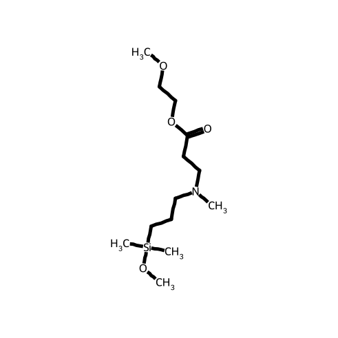 COCCOC(=O)CCN(C)CCC[Si](C)(C)OC